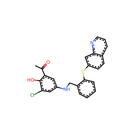 CC(=O)c1cc(NCc2ccccc2Sc2ccc3cccnc3c2)cc(Cl)c1O